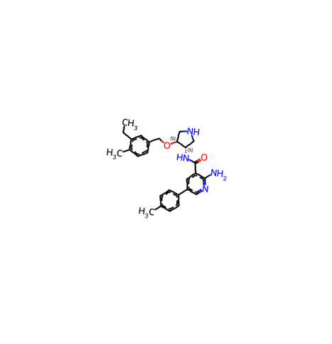 CCc1cc(CO[C@H]2CNC[C@@H]2NC(=O)c2cc(-c3ccc(C)cc3)cnc2N)ccc1C